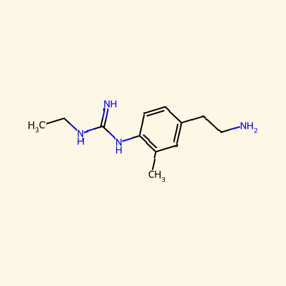 CCNC(=N)Nc1ccc(CCN)cc1C